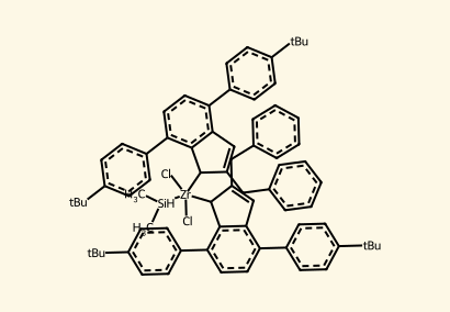 C[SiH](C)[Zr]([Cl])([Cl])([CH]1C(Cc2ccccc2)=Cc2c(-c3ccc(C(C)(C)C)cc3)ccc(-c3ccc(C(C)(C)C)cc3)c21)[CH]1C(Cc2ccccc2)=Cc2c(-c3ccc(C(C)(C)C)cc3)ccc(-c3ccc(C(C)(C)C)cc3)c21